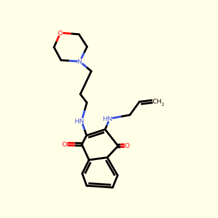 C=CCNC1=C(NCCCN2CCOCC2)C(=O)c2ccccc2C1=O